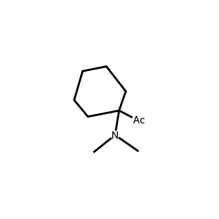 CC(=O)C1(N(C)C)CCCCC1